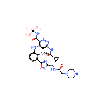 BC(B)(B)NC(=O)c1nnc(NC(=O)C2CC2)cc1Nc1cccc(-c2nc(CNC(=O)CN3CCNCC3)no2)c1OC